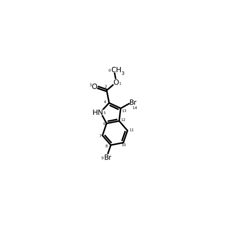 COC(=O)c1[nH]c2cc(Br)ccc2c1Br